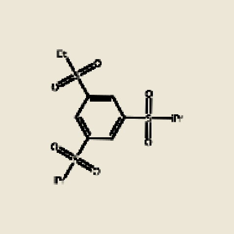 CCS(=O)(=O)c1cc(S(=O)(=O)C(C)C)cc(S(=O)(=O)C(C)C)c1